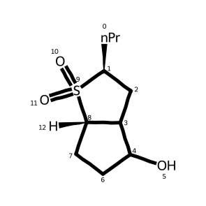 CCC[C@H]1CC2C(O)CC[C@@H]2S1(=O)=O